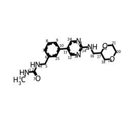 CNC(=O)NCc1cccc(-c2cnc(NCC3COCCO3)nc2)c1